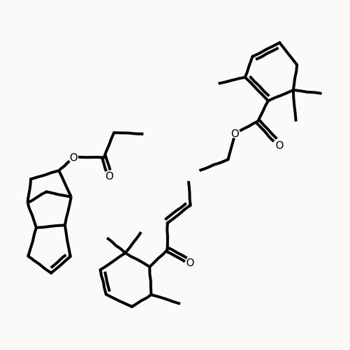 CC=CC(=O)C1C(C)CC=CC1(C)C.CCC(=O)OC1CC2CC1C1C=CCC21.CCOC(=O)C1=C(C)C=CCC1(C)C